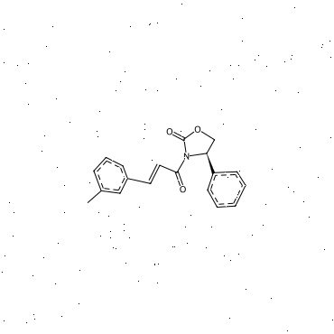 Cc1cccc(/C=C/C(=O)N2C(=O)OC[C@H]2c2ccccc2)c1